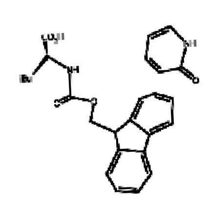 CC[C@H](C)[C@H](NC(=O)OCC1c2ccccc2-c2ccccc21)C(=O)O.O=c1cccc[nH]1